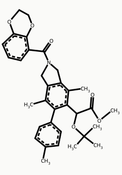 COC(=O)C(OC(C)(C)C)c1c(C)c2c(c(C)c1-c1ccc(C)cc1)CN(C(=O)c1cccc3c1OCCO3)C2